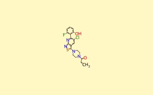 C=CC(=O)N1CCN(c2snc3nc(-c4c(O)cccc4F)c(Cl)cc23)CC1